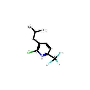 CC(C)Cc1ccc(C(F)(F)F)nc1Cl